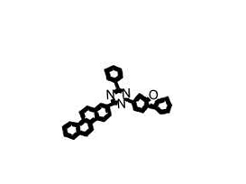 c1ccc(-c2nc(-c3ccc4c(ccc5c6ccccc6ccc45)c3)nc(-c3ccc4c(c3)oc3ccccc34)n2)cc1